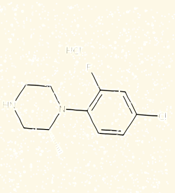 C[C@@H]1CNCCN1c1ccc(Cl)cc1F.Cl